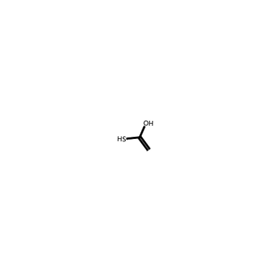 C=C(O)S